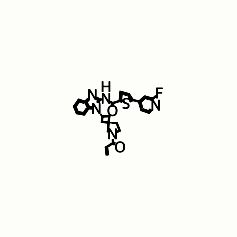 C=CC(=O)N1CC[C@]2(C1)C[C@H](n1c(NC(=O)c3ccc(-c4ccnc(F)c4)s3)nc3ccccc31)C2